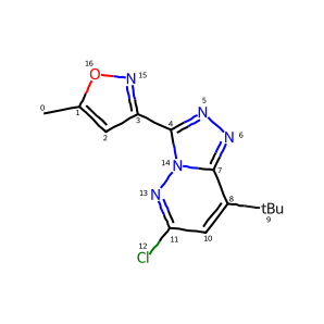 Cc1cc(-c2nnc3c(C(C)(C)C)cc(Cl)nn23)no1